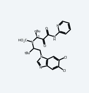 CCCC[C@@H](C(=O)C(=O)Nc1ccccn1)N(C(=O)O)C(Cn1cnc2cc(Cl)c(Cl)cc21)C(C)(C)C